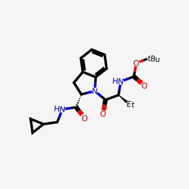 CC[C@H](NC(=O)OC(C)(C)C)C(=O)N1c2ccccc2C[C@H]1C(=O)NCC1CC1